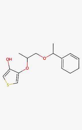 CC(COC(C)C1=CCCC=C1)Oc1cscc1O